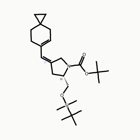 CC(C)(C)OC(=O)N1C/C(=C\C2=CCC3(CC2)CC3)C[C@H]1CO[Si](C)(C)C(C)(C)C